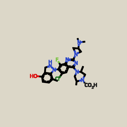 Cc1ccc(O)c2c1N(c1c(Cl)cc3c(N4CC(C)N(C(=O)O)CC4C)nc(N4CC(N(C)C)C4)nc3c1F)NC2